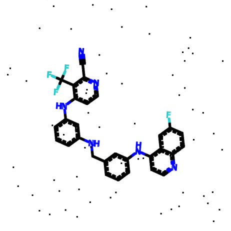 N#Cc1nccc(Nc2cccc(NCc3cccc(Nc4ccnc5ccc(F)cc45)c3)c2)c1C(F)(F)F